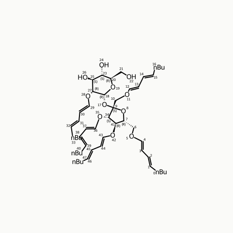 CCCCC=CC=COC[C@H]1O[C@@](COC=CC=CCCCC)(O[C@H]2O[C@H](CO)[C@@H](O)[C@H](O)[C@H]2OC=CC=CCCCC)[C@@H](OC=CC=CCCCC)[C@@H]1OC=CC=CCCCC